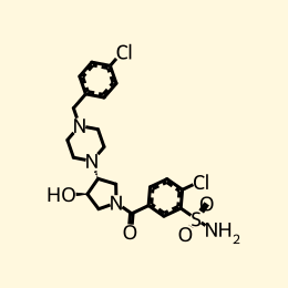 NS(=O)(=O)c1cc(C(=O)N2C[C@@H](O)[C@H](N3CCN(Cc4ccc(Cl)cc4)CC3)C2)ccc1Cl